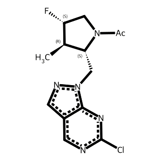 CC(=O)N1C[C@@H](F)[C@H](C)[C@H]1Cn1ncc2cnc(Cl)nc21